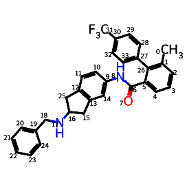 Cc1cccc(C(=O)Nc2ccc3c(c2)CC(NCc2ccccc2)C3)c1-c1ccc(C(F)(F)F)cc1